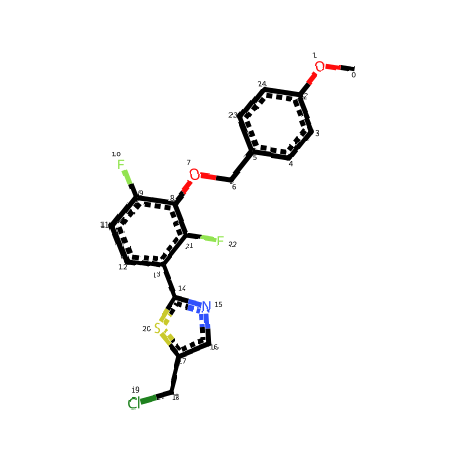 COc1ccc(COc2c(F)ccc(-c3ncc(CCl)s3)c2F)cc1